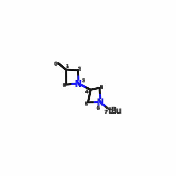 CC1CN(C2CN(C(C)(C)C)C2)C1